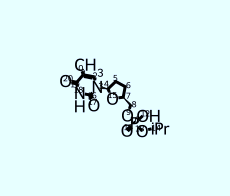 Cc1cn([C@H]2CC[C@@H](COP(=O)(O)OC(C)C)O2)c(=O)[nH]c1=O